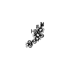 CC1(C)OCC(COc2ccc3c(c2)C(C)(C)c2[nH]c4c(F)c(C#N)ccc4c2C3=O)O1